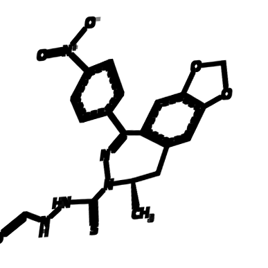 C[C@@H]1Cc2cc3c(cc2C(c2ccc([N+](=O)[O-])cc2)=NN1C(=S)NNC=O)OCO3